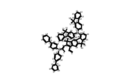 C=CC1=C(/C=C(\C)N(c2ccc(-c3ccccc3)cc2)c2ccc(-c3ccccc3)cc2)C(C)(C)c2cc3c(cc21)C(C)(C)c1cccc(N(c2ccc4c(c2)C(C)(C)c2ccccc2-4)c2ccc4c(c2)C(C)(C)c2ccccc2-4)c1-3